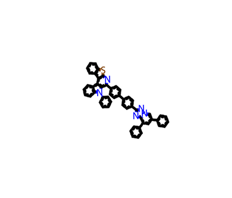 c1ccc(-c2cc(-c3ccccc3)c3nc(-c4ccc(-c5ccc(-c6nc7sc8ccccc8c7c7c8ccccc8n(-c8ccccc8)c67)cc5)cc4)nn3c2)cc1